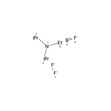 CCN(C(C)C)C(C)C.[B+3].[F-].[F-].[F-]